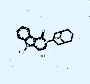 CN1C2CCCC1CC(n1ccc3c(c1=O)c1ccccc1n3C)C2.Cl